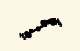 CC1(C)OCc2cc([C@@H]3CN(CCCCCCOCCCCc4cccc(C=CS(N)(=O)=O)c4)C(=O)O3)ccc2O1